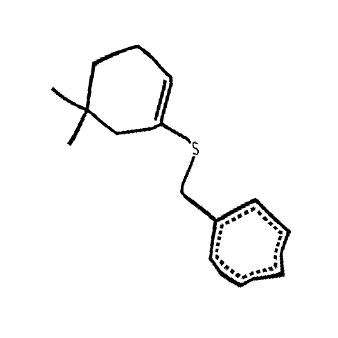 CC1(C)CCC=C(SCc2ccccc2)C1